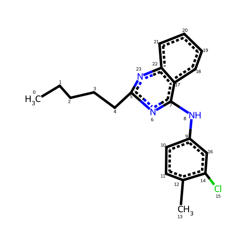 CCCCCc1nc(Nc2ccc(C)c(Cl)c2)c2ccccc2n1